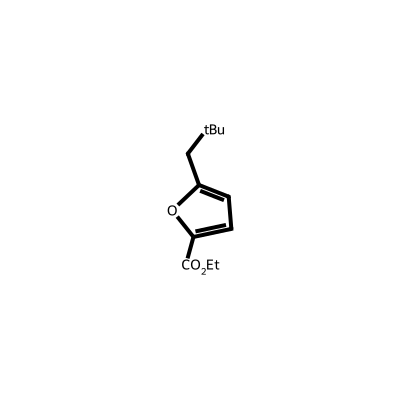 CCOC(=O)c1ccc(CC(C)(C)C)o1